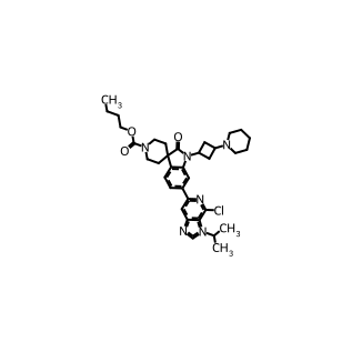 CCCCOC(=O)N1CCC2(CC1)C(=O)N(C1CC(N3CCCCC3)C1)c1cc(-c3cc4ncn(C(C)C)c4c(Cl)n3)ccc12